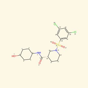 O=C(NC1CCC(O)CC1)[C@H]1CCCN(S(=O)(=O)c2cc(Cl)cc(Cl)c2)C1